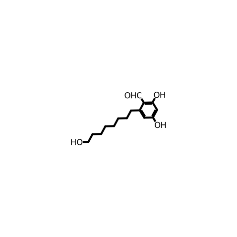 O=Cc1c(O)cc(O)cc1CCCCCCCCO